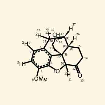 [2H]c1c([2H])c2c3c(c1OC)OC1([2H])C(=O)CC[C@H]4[C@H](N(C)CC[C@@]341)C2([2H])[2H]